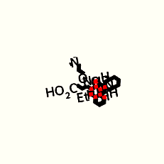 CC[C@@H]1C[C@@H]2C[C@H](C1)C[C@@H](N1[C@@H]3CCC[C@H]1C[C@@H](n1c(=O)c(/C(CCC(=O)O)=N/OCCCN(C)C)nc4ccccc41)C3)C2